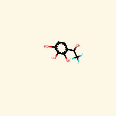 Oc1ccc(C(O)C(F)(F)F)c(O)c1O